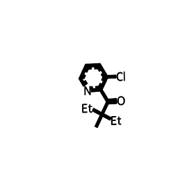 CCC(C)(CC)C(=O)c1ncccc1Cl